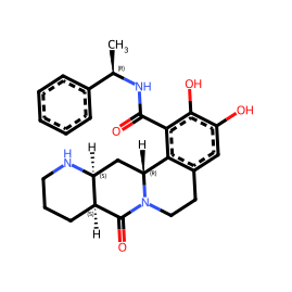 C[C@@H](NC(=O)c1c(O)c(O)cc2c1[C@H]1C[C@@H]3NCCC[C@@H]3C(=O)N1CC2)c1ccccc1